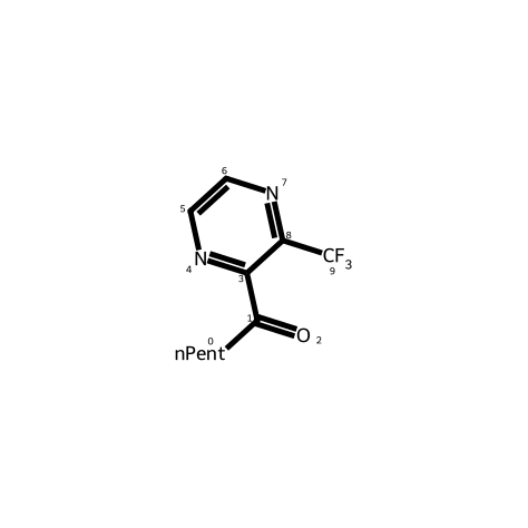 CCCCCC(=O)c1nccnc1C(F)(F)F